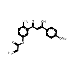 C=CC(=O)Oc1ccc(C)c(C(=O)/C=C(\O)c2ccc(OC)cc2)c1